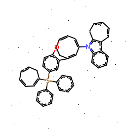 C1=CC=C(S(c2ccccc2)(c2ccccc2)c2ccc3c(c2)/C2=C/C(n4c5c(c6ccccc64)C=CC=CC5)=C\C=C(/CC2)O3)CC=C1